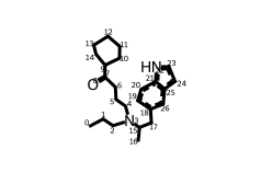 CCCN(CCCC(=O)C1CCCCC1)C(C)Cc1ccc2[nH]ccc2c1